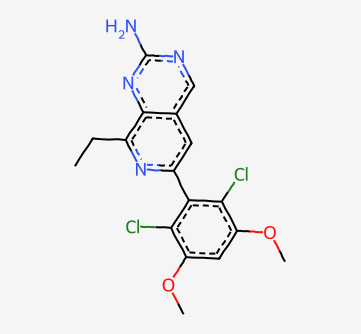 CCc1nc(-c2c(Cl)c(OC)cc(OC)c2Cl)cc2cnc(N)nc12